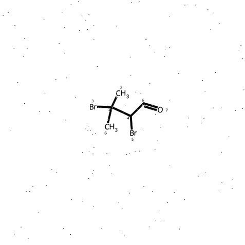 CC(C)(Br)C(Br)C=O